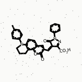 Cc1ccc(N2CCCc3c2ccc2cc(/C=C4\C(=O)N(c5ccccc5)N=C4C(=O)O)c(=O)oc32)cc1